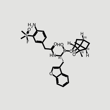 CC1(C)[C@@H]2C[C@@H](OB(O)[C@H](Cc3coc4ccccc34)NC(=O)Cc3ccc(N)c(S(C)(C)(=O)F)c3)[C@@](C)(O)[C@H]1C2